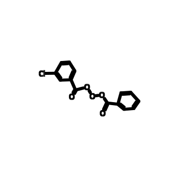 O=C(OOOC(=O)c1cccc(Cl)c1)c1ccccc1